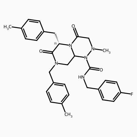 Cc1ccc(C[C@H]2C(=O)N(Cc3ccc(C)cc3)CC3N2C(=O)CN(C)N3C(=O)NCc2ccc(F)cc2)cc1